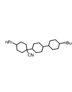 CCCCC1CCC(C2CCC(C3(C#N)CCC(CCC)CC3)CC2)CC1